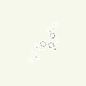 Cc1c(NC(=O)N2CCCC(C(N)=O)C2)cccc1-c1cc(Nc2ccc(C(=O)N3CCOCC3)cn2)c2nccn2c1